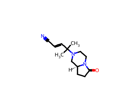 CC(C)(C=CC#N)N1CCN2C(=O)CC[C@H]2C1